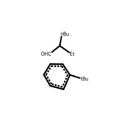 CC(C)(C)c1ccccc1.CCCCC(C=O)CC